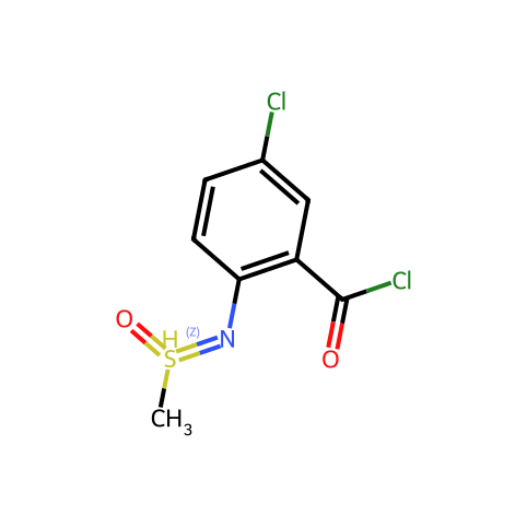 C/[SH](=O)=N/c1ccc(Cl)cc1C(=O)Cl